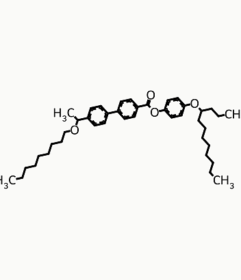 CCCCCCCCCOC(C)c1ccc(-c2ccc(C(=O)Oc3ccc(OC(CCC)CCCCCCCC)cc3)cc2)cc1